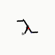 CCCCCCCC/C=C\CCCCCCCC(OCCCCCCCCC1CC1CCCCCCCC)O[Si](C)(C)OCCCCCCBr